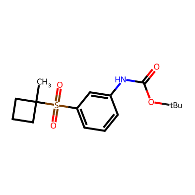 CC(C)(C)OC(=O)Nc1cccc(S(=O)(=O)C2(C)CCC2)c1